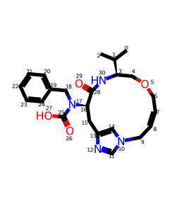 CC(C)[C@H]1COC/C=C\Cn2cnc(c2)C[C@@H](N(Cc2ccccc2)C(=O)O)C(=O)N1